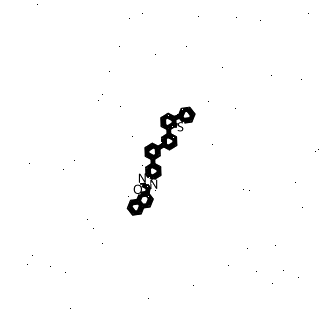 c1cc(-c2cccc(-c3cccc4c3sc3ccccc34)c2)cc(-c2ccc3nc4c(nc3c2)oc2c3ccccc3ccc42)c1